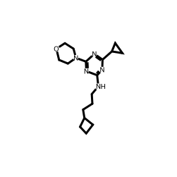 C(CNc1nc(C2CC2)nc(N2CCOCC2)n1)CC1CCC1